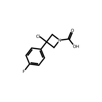 O=C(O)N1CC(Cl)(c2ccc(F)cc2)C1